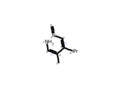 C=N/C=C(\C(C)=C/N)C(C)C